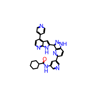 O=C(Nc1cncc(-c2ccc3[nH]nc(-c4cc5c(-c6ccncc6)ccnc5[nH]4)c3n2)c1)C1CCCCC1